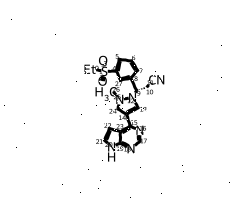 CCS(=O)(=O)c1cccc([C@H](CC#N)N2C=C(c3ncnc4[nH]ccc34)CN2C)c1